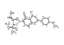 COc1ccc(-c2cc(F)c3c(=O)n(CC[C@](C)(C(=O)NO)S(C)(=O)=O)cnc3c2)cc1